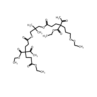 CCOOCCCC(CCC(=O)OCC(C)(C)COC(=O)CCC(CCC(=O)OCC)(C(C)=O)C(=O)OCC)(C(C)=O)C(=O)OCC